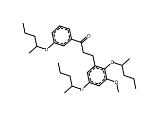 CCCC(C)Oc1cccc(C(=O)CCc2cc(OC(C)CCC)cc(OC)c2OC(C)CCC)c1